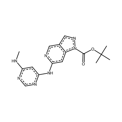 CNc1cc(Nc2cc3c(cn2)cnn3C(=O)OC(C)(C)C)ncn1